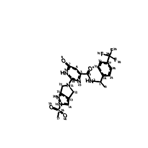 CC(NC(=O)c1cc(=O)[nH]c(N2Cc3cn(S(C)(=O)=O)nc3C2)n1)c1ccc(C(F)(F)F)cc1